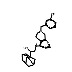 N#Cc1cccc(CN2CCc3c(ncnc3NCC(O)C34CC5CC(CC(C5)C3)C4)C2)c1